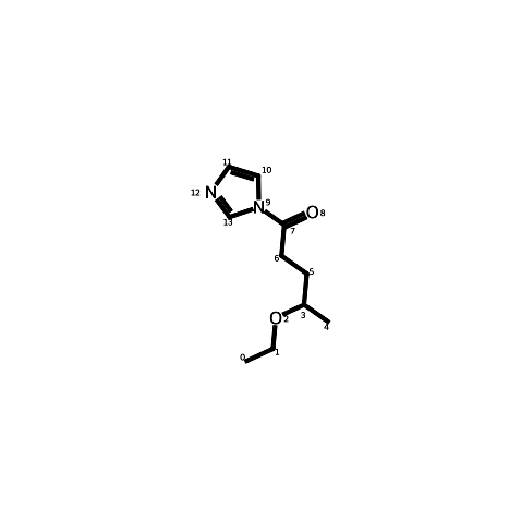 CCOC(C)CCC(=O)n1ccnc1